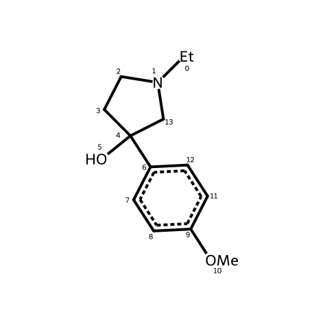 CCN1CCC(O)(c2ccc(OC)cc2)C1